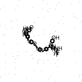 C[C@H](CC(F)(F)F)Nc1ncc2c(-c3ccc(CN4CCN(CCCOC5CCN(Cc6ccc7c(c6)n(C)c(=O)n7C6CCC(=O)NC6=O)CC5)CC4)cc3)cn([C@H]3CC[C@H](O)CC3)c2n1